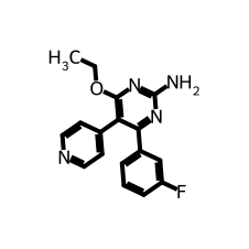 CCOc1nc(N)nc(-c2cccc(F)c2)c1-c1ccncc1